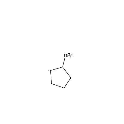 CCCC1[CH]CCC1